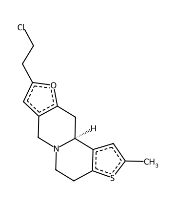 Cc1cc2c(s1)CCN1Cc3cc(CCCl)oc3C[C@@H]21